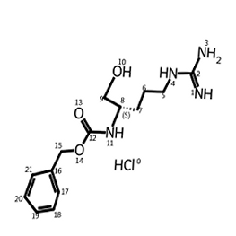 Cl.N=C(N)NCCC[C@@H](CO)NC(=O)OCc1ccccc1